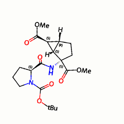 COC(=O)[C@H]1[C@@H]2CC[C@@](NC(=O)[C@@H]3CCCN3C(=O)OC(C)(C)C)(C(=O)OC)[C@@H]21